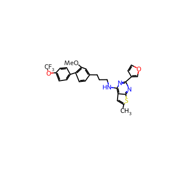 COc1cc(CCCNc2nc(-c3ccoc3)nc3sc(C)cc23)ccc1-c1ccc(OC(F)(F)F)cc1